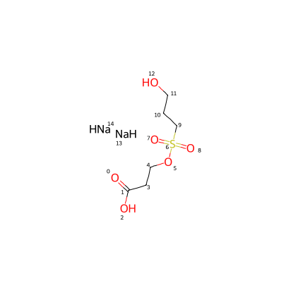 O=C(O)CCOS(=O)(=O)CCCO.[NaH].[NaH]